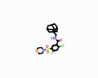 O=C(NCC12CC3CC(CC(C3)C1)C2)c1cc(S(=O)(=O)N2CCOCC2)c(F)cc1Cl